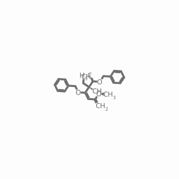 C=C(/C=C(/OCc1ccccc1)[C@](C)(CC)C(C)OCc1ccccc1)OC